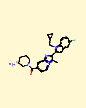 Cc1c(-c2cc3cc(F)ccc3n2CC2CC2)nc2cc(C(=O)N3CCC[C@@H](N)C3)ccn12